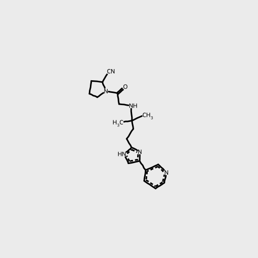 CC(C)(CCc1nc(-c2cccnc2)c[nH]1)NCC(=O)N1CCCC1C#N